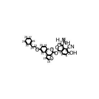 N#Cc1c(O)ccc(C(=O)OC(=O)c2occc2-c2cccc(OCCc3ccccc3)c2)c1C(=O)NN